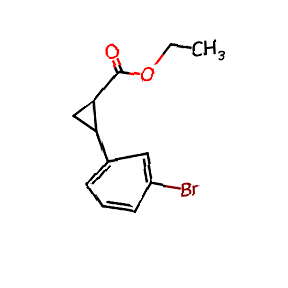 CCOC(=O)C1CC1c1cccc(Br)c1